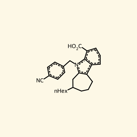 CCCCCCC1CCCc2c(n(Cc3ccc(C#N)cc3)c3c(C(=O)O)cccc23)C1